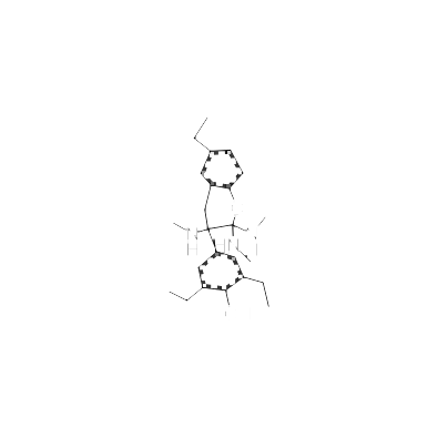 CCc1ccc2c(c1)CC(NC)(c1cc(CC)c(O)c(CC)c1)C(NC)(NC)O2